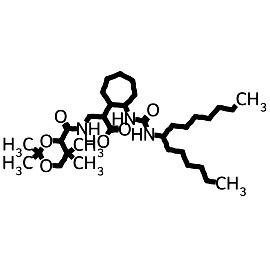 CCCCCCCC(CCCCCC)NC(=O)NC1CCCCCC1C(CNC(=O)C1OC(C)(C)OCC1(C)C)C(=O)O